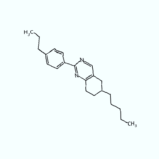 CCCCCC1CCc2nc(-c3ccc(CCC)cc3)ncc2C1